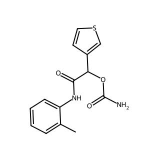 Cc1ccccc1NC(=O)C(OC(N)=O)c1ccsc1